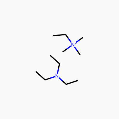 CCN(CC)CC.CC[N+](C)(C)C